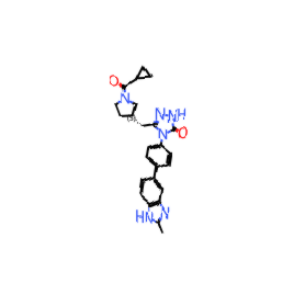 Cc1nc2cc(-c3ccc(-n4c(C[C@@H]5CCN(C(=O)C6CC6)C5)n[nH]c4=O)cc3)ccc2[nH]1